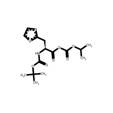 CC(C)OC(=O)OC(=O)[C@H](Cc1ncco1)NC(=O)OC(C)(C)C